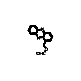 O=COCc1cccc2nc3ccccc3nc12